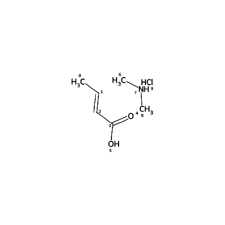 C/C=C/C(=O)O.CNC.Cl